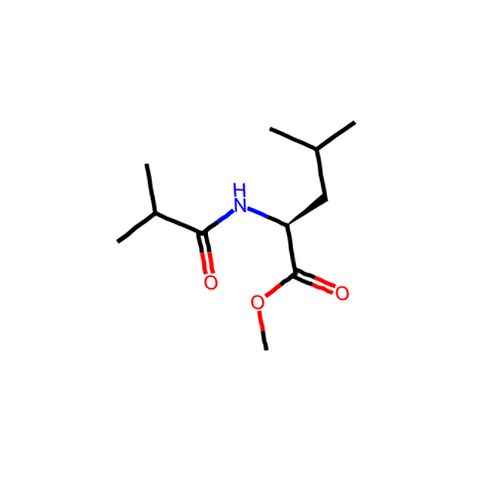 COC(=O)[C@H](CC(C)C)NC(=O)C(C)C